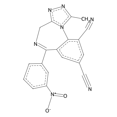 Cc1nnc2n1-c1c(C#N)cc(C#N)cc1C(c1cccc([N+](=O)[O-])c1)=NC2